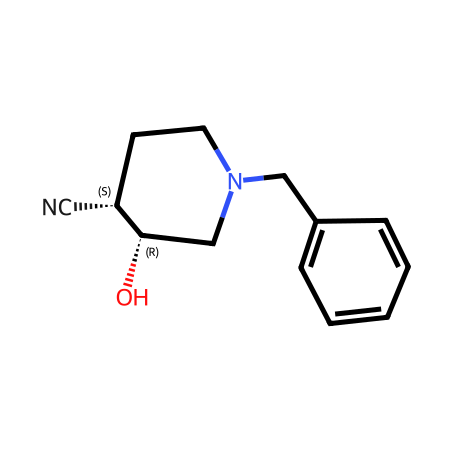 N#C[C@@H]1CCN(Cc2ccccc2)C[C@@H]1O